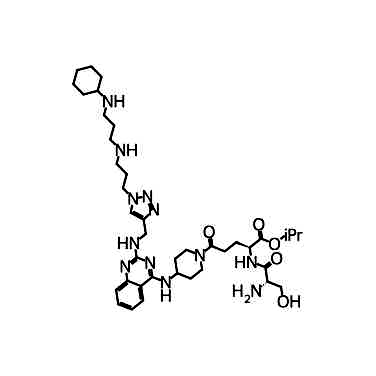 CC(C)OC(=O)[C@H](CCC(=O)N1CCC(Nc2nc(NCc3cn(CCCNCCCNC4CCCCC4)nn3)nc3ccccc23)CC1)NC(=O)[C@@H](N)CO